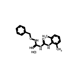 Cc1cccc(C)c1NC(=O)NC(=N)NOCc1ccccc1.Cl